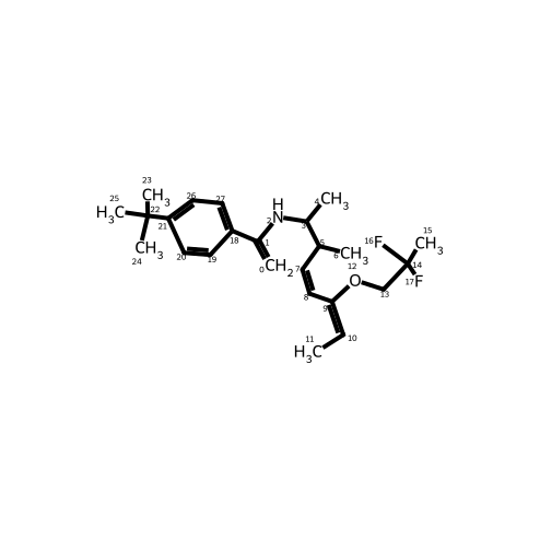 C=C(NC(C)C(C)/C=C\C(=C/C)OCC(C)(F)F)c1ccc(C(C)(C)C)cc1